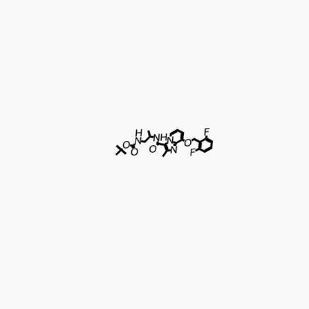 Cc1nc2c(OCc3c(F)cccc3F)cccn2c1C(=O)NC(C)CNC(=O)OC(C)(C)C